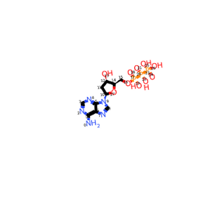 Nc1ncnc2c1ncn2[C@H]1C[C@H](O)[C@@H](COP(=O)(O)P(=O)(O)P(=O)(O)O)O1